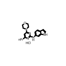 CCCc1cc(N2CCOCC2)nc(Nc2ccc3cc[nH]c3c2)n1.Cl